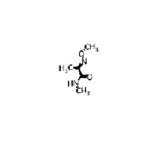 CNC(=O)/C(C)=N/OC